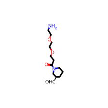 NCCOCCOCCC(=O)N1CCC[C@@H](C=O)C1